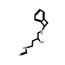 O=CNCCC(O)CNC1Cc2ccccc21